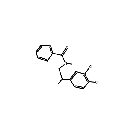 CC(CN(C)C(=O)c1ccccc1)c1ccc(Cl)c(Cl)c1